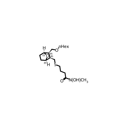 CCCCCCOC[C@H]1[C@@H](CSCCCC(=O)N(C)O)[C@H]2CC[C@@H]1O2